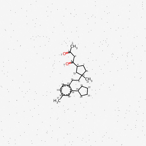 CC(=O)CC(=O)C1CCC(C)(CCc2ccc(C)cc2C2CCCC2)C1